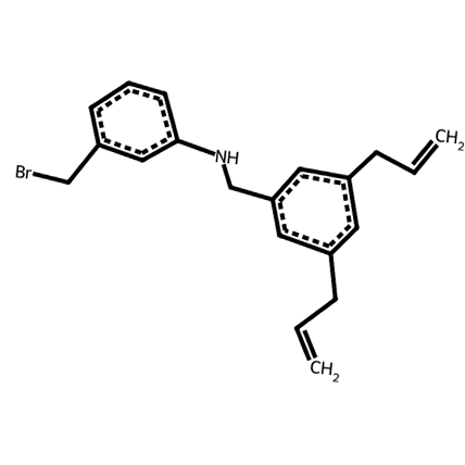 C=CCc1cc(CC=C)cc(CNc2cccc(CBr)c2)c1